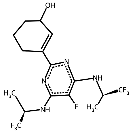 C[C@@H](Nc1nc(C2=CC(O)CCC2)nc(N[C@H](C)C(F)(F)F)c1F)C(F)(F)F